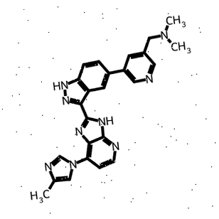 Cc1cn(-c2ccnc3[nH]c(-c4n[nH]c5ccc(-c6cncc(CN(C)C)c6)cc45)nc23)cn1